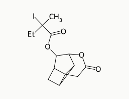 CCC(C)(I)C(=O)OC1C2OC(=O)CC34C1CC3C24